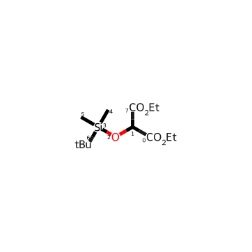 CCOC(=O)C(O[Si](C)(C)C(C)(C)C)C(=O)OCC